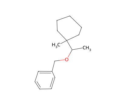 CC(OCc1ccccc1)C1(C)CCCCC1